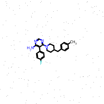 Cc1ccc(CC2CCN(c3ncnc(N)c3-c3ccc(F)cc3)CC2)cc1